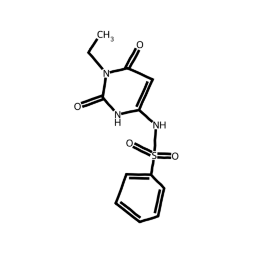 CCn1c(=O)cc(NS(=O)(=O)c2ccccc2)[nH]c1=O